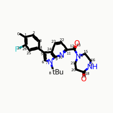 Cc1ccc(-c2cn(C(C)(C)C)c3nc(C(=O)N4CCNC(=O)CC4)ccc23)cc1F